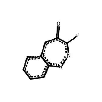 O=c1cc2ccccc2nnc1F